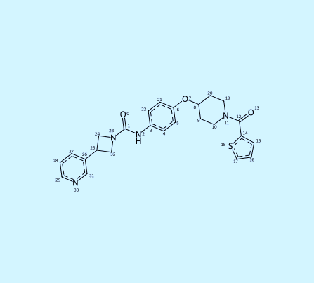 O=C(Nc1ccc(OC2CCN(C(=O)c3cccs3)CC2)cc1)N1CC(c2cccnc2)C1